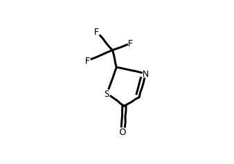 O=C1C=NC(C(F)(F)F)S1